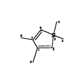 CC1=[C][Si](C)(C)[C]=C1C